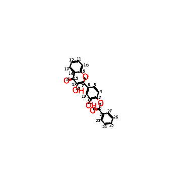 O=C(Oc1ccc(-c2oc3ccccc3c(=O)c2O)cc1O)c1ccccc1